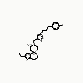 CCc1cc2c(s1)CCO[C@@]21CCN(Cc2cn(CCCc3ccc(F)cc3)nn2)[C@@H](C)C1